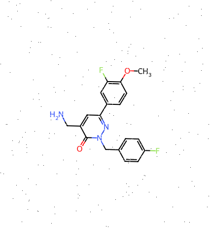 COc1ccc(-c2cc(CN)c(=O)n(Cc3ccc(F)cc3)n2)cc1F